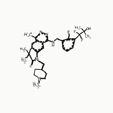 Cc1nnc(NCc2cccc(C(F)(F)C(C)(C)O)c2F)c2cc3c(cc12)C(C)(C)C(=O)N3CC1CCN(C)CC1